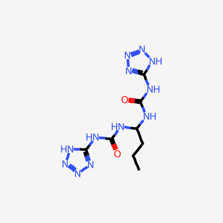 CCCC(NC(=O)Nc1nnn[nH]1)NC(=O)Nc1nnn[nH]1